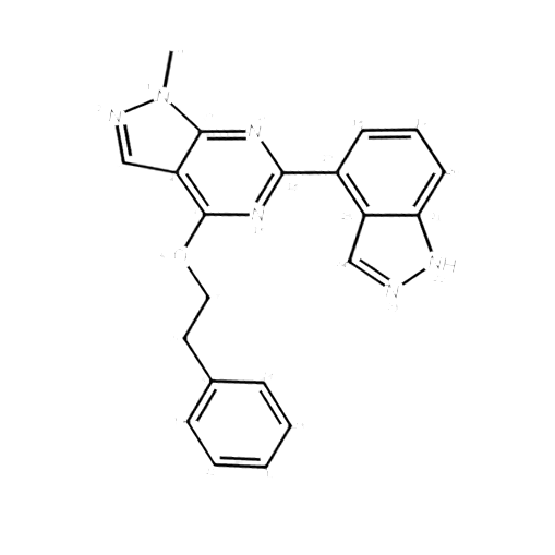 Cn1ncc2c(OCCc3ccccc3)nc(-c3cccc4[nH]ncc34)nc21